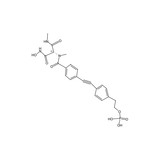 CNC(=O)[C@@H](C(=O)NO)N(C)C(=O)c1ccc(C#Cc2ccc(CCOP(=O)(O)O)cc2)cc1